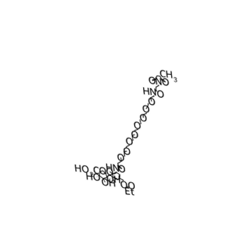 CCC(=O)OCc1ccc(O[C@@H]2O[C@H](C(=O)O)[C@@H](O)[C@H](O)[C@H]2O)c(NC(=O)CCOCCOCCOCCOCCOCCOCCOCCOCCNC(=O)CCN2C(=O)CC(C)C2=O)c1